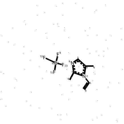 C=Cn1c(C)cnc1C.F[B-](F)(F)F